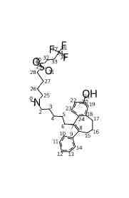 CN(CCCCCC1=C(c2ccccc2)CCCc2cc(O)ccc21)CCCCS(=O)(=O)CCC(F)(F)F